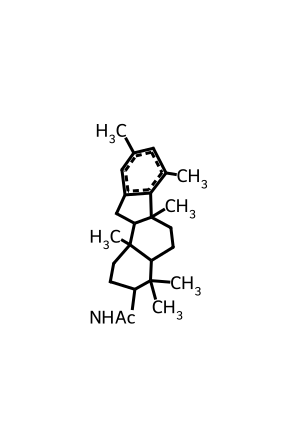 CC(=O)NC1CCC2(C)C3Cc4cc(C)cc(C)c4C3(C)CCC2C1(C)C